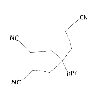 CCCC(CCC#N)(CCC#N)CCC#N